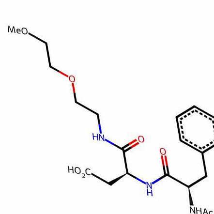 COCCOCCNC(=O)[C@H](CC(=O)O)NC(=O)[C@@H](Cc1ccccc1)NC(C)=O